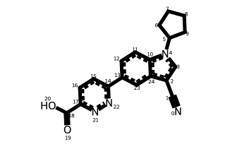 N#Cc1cn(C2CCCC2)c2ccc(-c3ccc(C(=O)O)nn3)cc12